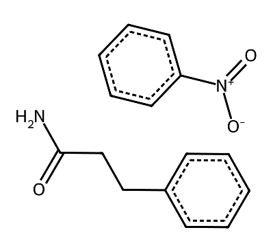 NC(=O)CCc1ccccc1.O=[N+]([O-])c1ccccc1